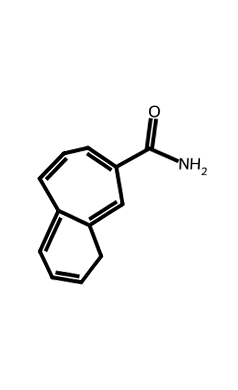 NC(=O)C1=CC=CC2=CC=CCC2=C1